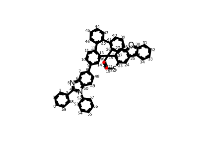 c1ccc(-c2nc3cc(-c4ccc5c(c4)C4(c6ccccc6Sc6cc7c(cc64)oc4ccccc47)c4ccccc4-c4ccccc4-5)ccc3n2-c2ccccc2)cc1